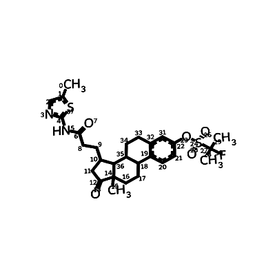 Cc1cnc(NC(=O)CCC2CC(=O)C3(C)CCC4c5ccc(OS(=O)(=O)C(C)(C)F)cc5CCC4C23)s1